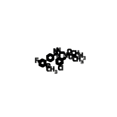 COc1ccc(F)cc1[C@H]1CC[C@H](c2nnc3n2-c2ccc(Cl)cc2CN(C(=O)OC(C)(C)C)C3)CC1